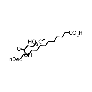 CC(=O)O.CCCC(=O)O.CCCCCCCCCCCCCCCCCCCCCC(=O)O